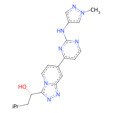 CC(C)C[C@H](O)c1nnc2cc(-c3ccnc(Nc4cnn(C)c4)n3)ccn12